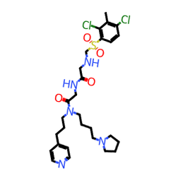 Cc1c(Cl)ccc(S(=O)(=O)CNCC(=O)NCC(=O)N(CCCCN2CCCC2)CCCc2ccncc2)c1Cl